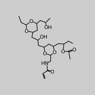 C=CC(=O)NCC1OC(CC(O)CC2CC(CC(C)O)OC(CC)O2)CC(CC(CC)OC(C)=O)O1